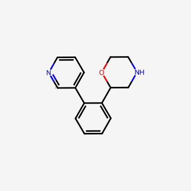 [c]1ncccc1-c1ccccc1C1CNCCO1